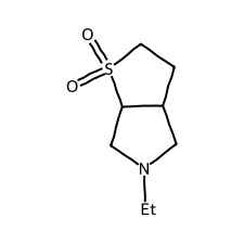 CCN1CC2CCS(=O)(=O)C2C1